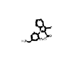 COC(=O)c1c(F)c2ccccc2n1-c1ccc(CN)cc1